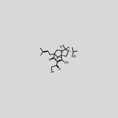 CC(C)=CCC12C[C@H]3C(C)(C)[C@H](C(C)(C)N=O)C[C@]3(C1=O)C(O)=C(C(=O)CC(C)C)C2=O